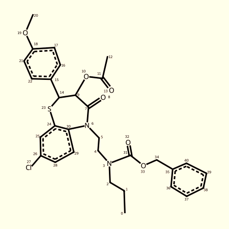 CCCN(CCN1C(=O)C(OC(C)=O)C(c2ccc(OC)cc2)Sc2cc(Cl)ccc21)C(=O)OCc1ccccc1